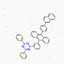 c1ccc(-c2nc(-c3ccccc3)nc(-c3cccc(-c4c5ccccc5c(-c5ccc(-c6ccc7ccccc7c6)cc5)c5ccccc45)c3)n2)cc1